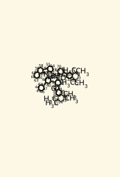 CC1(C)CCC(C)(C)c2cc3c(cc21)oc1c(Nc2ccc4c(oc5cc6c(cc54)C(C)(C)CCC6(C)C)c2-c2cc(-c4ccccc4)cc4c2Bc2cccc5c6ccc7ccccc7c6n-4c25)cccc13